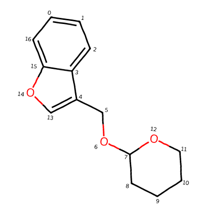 c1ccc2c(COC3CCCCO3)coc2c1